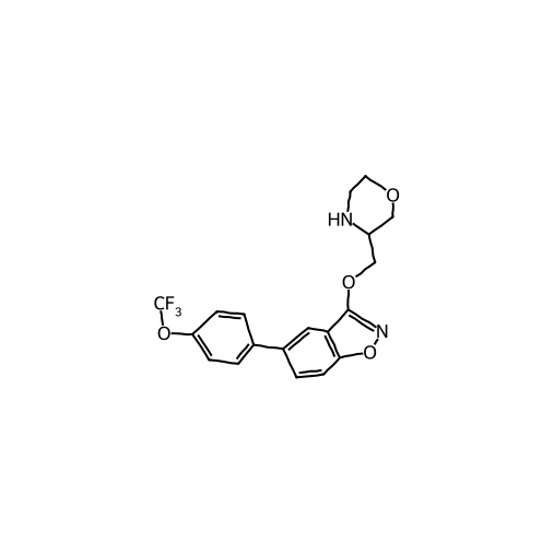 FC(F)(F)Oc1ccc(-c2ccc3onc(OCC4COCCN4)c3c2)cc1